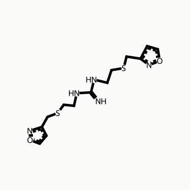 N=C(NCCSCc1ccon1)NCCSCc1ccon1